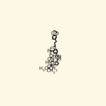 CC(C)(C)OC(=O)NC(=NC(=O)O)N1CCCC1c1nc(-c2ccc(OCCCc3ccc4c(c3)OCCO4)c(C(F)(F)F)c2)no1